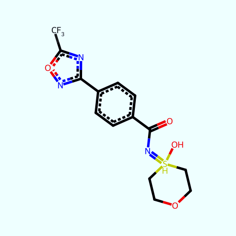 O=C(N=[SH]1(O)CCOCC1)c1ccc(-c2noc(C(F)(F)F)n2)cc1